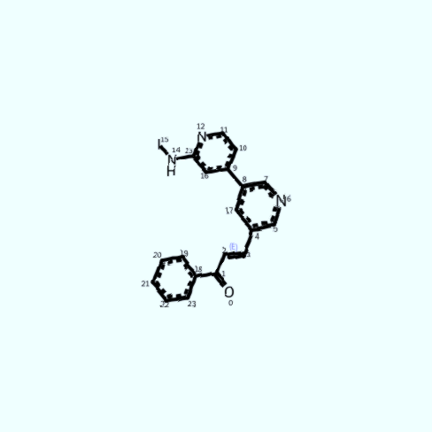 O=C(/C=C/c1cncc(-c2ccnc(NI)c2)c1)c1ccccc1